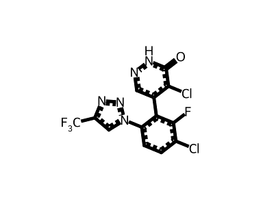 O=c1[nH]ncc(-c2c(-n3cc(C(F)(F)F)nn3)ccc(Cl)c2F)c1Cl